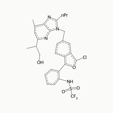 CCCc1nc2c(C)cc(C(C)CO)nc2n1Cc1ccc2c(-c3ccccc3NS(=O)(=O)C(F)(F)F)oc(Cl)c2c1